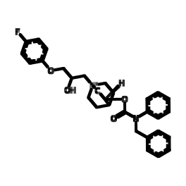 O=C(O[C@H]1C[N+]2(CC(O)COc3ccc(F)cc3)CCC1CC2)N(Cc1ccccc1)c1ccccc1